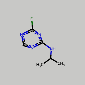 CC(C)Nc1n[c]nc(F)n1